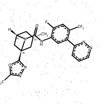 Cc1nnc([C@@]23C[C@@H](C)C[C@@H](C2)N3C(=O)Nc2cc(-c3cccnn3)c(C(F)(F)F)cc2F)o1